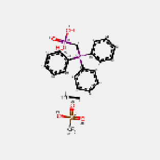 CCCC.O=P(O)(O)C[P+](c1ccccc1)(c1ccccc1)c1ccccc1.O=S(=O)([O-])C(F)(F)F